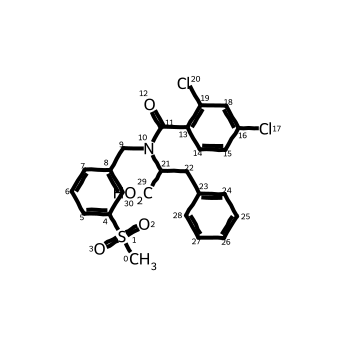 CS(=O)(=O)c1cccc(CN(C(=O)c2ccc(Cl)cc2Cl)C(Cc2ccccc2)C(=O)O)c1